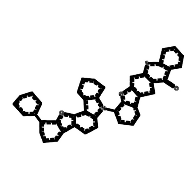 O=c1c2ccccc2sc2cc3oc4c(-n5c6ccccc6c6c7oc8c(-c9ccccc9)cccc8c7ccc65)cccc4c3cc12